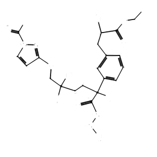 CCOC(=O)C(C)Cc1cccc(C(C)(CCC(F)(F)COc2ccn(C(C)=O)n2)C(=O)NNC)c1